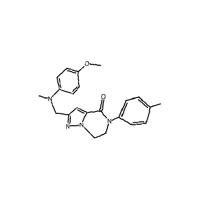 COc1ccc(N(C)Cc2cc3n(n2)CCN(c2ccc(C)cc2)C3=O)cc1